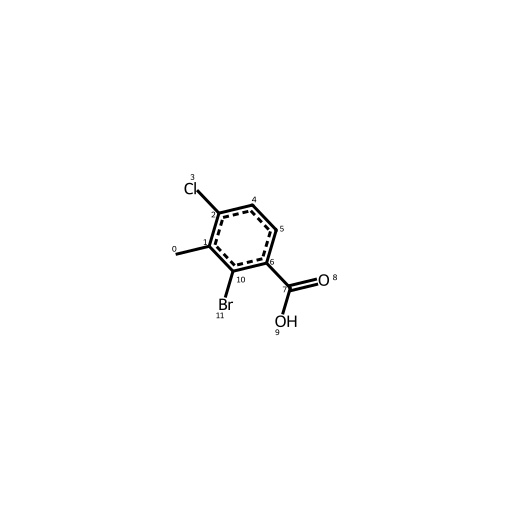 Cc1c(Cl)ccc(C(=O)O)c1Br